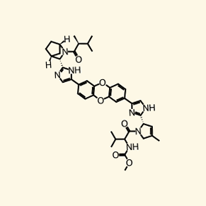 COC(=O)NC(C(=O)N1CC(C)=C[C@H]1c1nc(-c2ccc3c(c2)Oc2ccc(-c4cnc([C@@H]5[C@@H]6CC[C@@H](C6)N5C(=O)[C@@H](C)C(C)C)[nH]4)cc2O3)c[nH]1)C(C)C